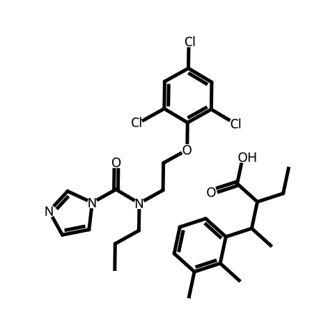 CCC(C(=O)O)C(C)c1cccc(C)c1C.CCCN(CCOc1c(Cl)cc(Cl)cc1Cl)C(=O)n1ccnc1